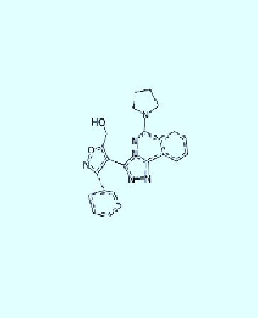 OCc1onc(-c2ccccc2)c1-c1nnc2c3ccccc3c(N3CCCC3)nn12